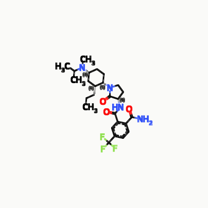 CCC[C@@H]1C[C@H](N(C)C(C)C)CC[C@@H]1N1CC[C@H](NC(=O)c2cc(C(F)(F)F)ccc2C(N)=O)C1=O